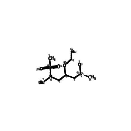 C[S@@+]([O-])CC(CN(C(C)(C)C)S(C)(=O)=O)OCC(C)(C)C